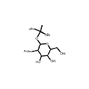 CCCCC(C)(CCCC)OC1OC(CO)C(O)C(O)C1NC(C)=O